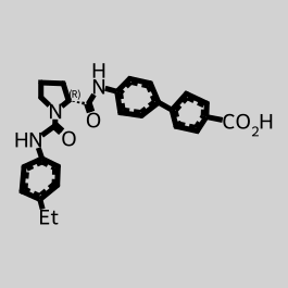 CCc1ccc(NC(=O)N2CCC[C@@H]2C(=O)Nc2ccc(-c3ccc(C(=O)O)cc3)cc2)cc1